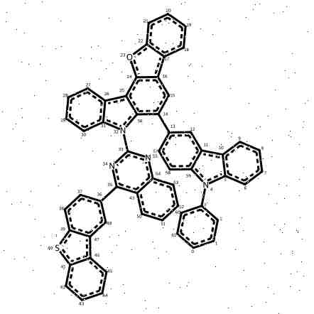 c1ccc(-n2c3ccccc3c3cc(-c4cc5c6ccccc6oc5c5c6ccccc6n(-c6nc(-c7ccc8sc9ccccc9c8c7)c7ccccc7n6)c45)ccc32)cc1